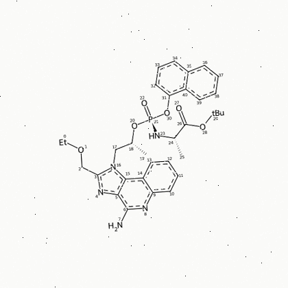 CCOCc1nc2c(N)nc3ccccc3c2n1C[C@@H](C)O[P@@](=O)(N[C@@H](C)C(=O)OC(C)(C)C)Oc1cccc2ccccc12